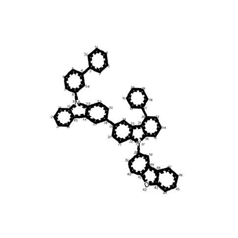 c1ccc(-c2cccc(-n3c4ccccc4c4cc(-c5ccc6c(c5)c5c(-c7ccccc7)cccc5n6-c5ccc6oc7ccccc7c6c5)ccc43)c2)cc1